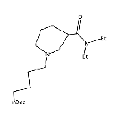 CCCCCCCCCCCCCCN1CCCC(C(=O)N(CC)CC)C1